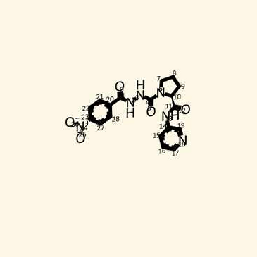 O=C(NNC(=O)N1CCC[C@H]1C(=O)Nc1cccnc1)c1ccc([N+](=O)[O-])cc1